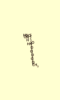 CCOCCOCCOCCOCCOCCNC(=O)CCCCC1SCC2NC(=O)NC21